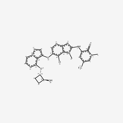 Cn1cc(C(F)(F)F)cc(Nc2nc3ncc(Oc4cnn5ccnc(O[C@H]6CC[C@@H]6O)c45)c(Cl)c3n2C)c1=O